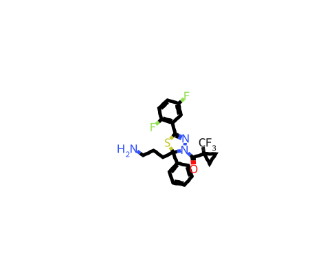 NCCCC1(c2ccccc2)SC(c2cc(F)ccc2F)=NN1C(=O)C1(C(F)(F)F)CC1